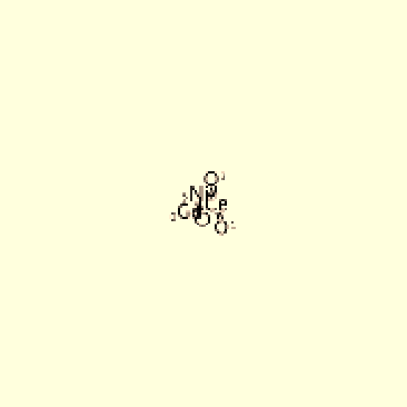 [Gd].[O]=[Ce]=[O].[O]=[Ni]